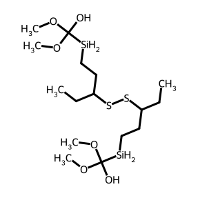 CCC(CC[SiH2]C(O)(OC)OC)SSC(CC)CC[SiH2]C(O)(OC)OC